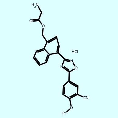 CC(C)Oc1ccc(-c2nc(-c3ccc(COC(=O)CN)c4ccccc34)no2)cc1C#N.Cl